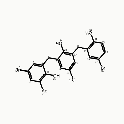 CC(=O)c1cc(Br)cc(Cc2cc(Cl)cc(Cc3cc(Br)ccc3O)c2O)c1O